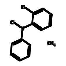 C.Clc1ccccc1N(Cl)c1ccccc1